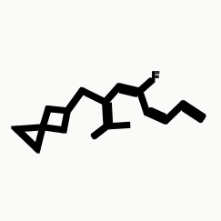 C=C/C=C\C(F)=C/C(CC1CC2(CC2)C1)=C(C)C